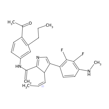 C=C(Nc1ccc(C(C)=O)c(CCC)c1)C1=NC=C(c2ccc(NC)c(F)c2F)C1/C=C\C